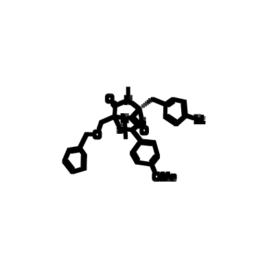 CCc1ccc(C[C@@]23SC(c4ccc(OC)cc4)SC(COCc4ccccc4)(C(=O)N2C)N(C)C3=O)cc1